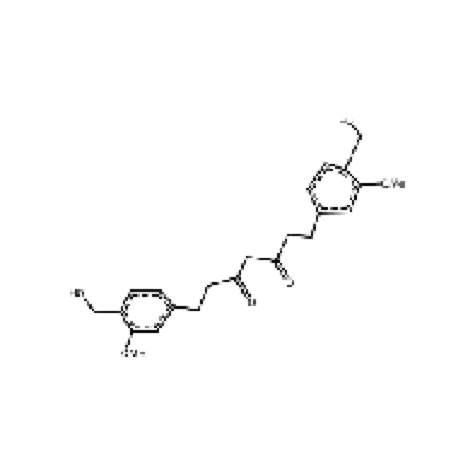 COc1cc(CCC(=O)CC(=O)CCc2ccc(CO)c(OC)c2)ccc1CO